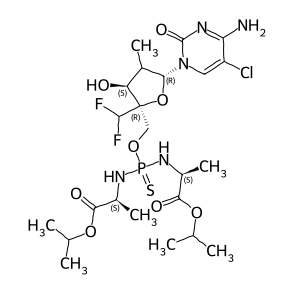 CC(C)OC(=O)[C@H](C)NP(=S)(N[C@@H](C)C(=O)OC(C)C)OC[C@@]1(C(F)F)O[C@@H](n2cc(Cl)c(N)nc2=O)C(C)[C@@H]1O